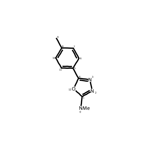 CNc1nnc(-c2ccc(C)cc2)o1